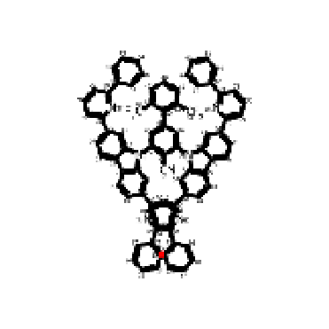 N#Cc1c(-n2c3cc(-c4cccc(-c5ccccc5)n4)ccc3c3ccc(-c4cccc(-c5ccccc5)n4)cc32)cc(-c2c(C(F)(F)F)cccc2C(F)(F)F)cc1-n1c2cc(-c3cccc(-c4ccccc4)n3)ccc2c2ccc(-c3cccc(-c4ccccc4)n3)cc21